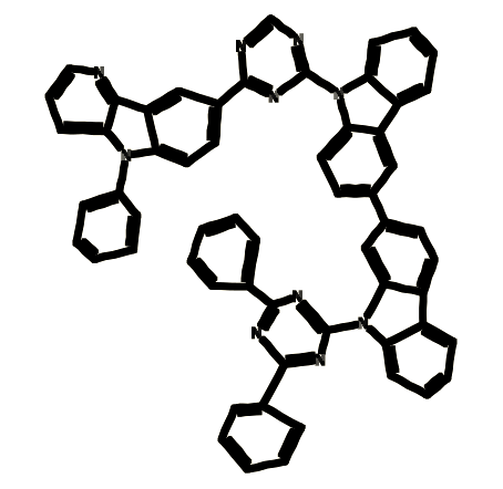 c1ccc(-c2nc(-c3ccccc3)nc(-n3c4ccccc4c4ccc(-c5ccc6c(c5)c5ccccc5n6-c5ncnc(-c6ccc7c(c6)c6ncccc6n7-c6ccccc6)n5)cc43)n2)cc1